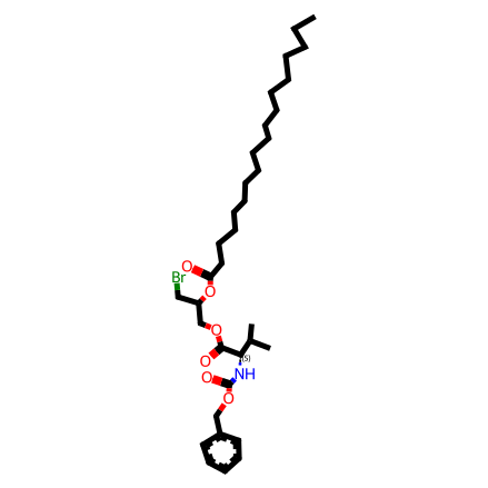 CCCCCCCCCCCCCCCCCC(=O)OC(CBr)COC(=O)[C@@H](NC(=O)OCc1ccccc1)C(C)C